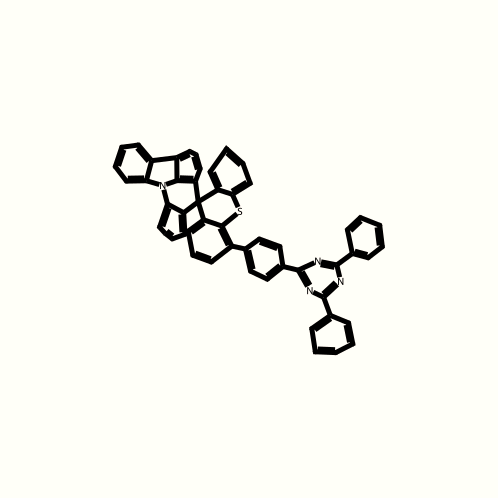 c1ccc(-c2nc(-c3ccccc3)nc(-c3ccc(-c4cccc5c4Sc4ccccc4C54c5ccccc5-n5c6ccccc6c6cccc4c65)cc3)n2)cc1